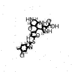 Cc1cc2[nH]c(Sc3ccc(C4C5=C(CNCC5=O)Nc5c4c[nH]c5C(=O)O)o3)nc2cc1Cl